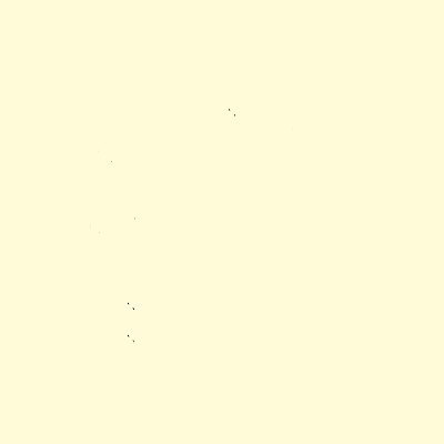 Cc1nc2sc3c(c2c(-c2ccc4cnn(C)c4c2)c1[C@H](OC(C)(C)C)C(=O)O)CCCC3